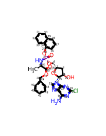 C[C@@H](NP(=O)(OC[C@@H]1C[C@@H](O)[C@H](n2cnc3c(N)nc(Cl)nc32)O1)Oc1cccc2ccccc12)C(=O)OCc1ccccc1